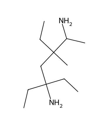 CCC(N)(CC)CC(C)(CC)C(C)N